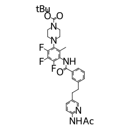 CC(=O)Nc1ccc(CCc2cccc(C(=O)Nc3c(C)c(N4CCN(C(=O)OC(C)(C)C)CC4)c(F)c(F)c3F)c2)cn1